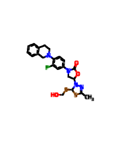 CC1=NN(C2CN(c3ccc(N4CCc5ccccc5C4)c(F)c3)C(=O)O2)[C@H](SCO)S1